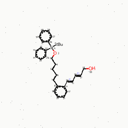 CC(C)(C)[Si](OCCCCCc1ccccc1/C=C/C=C/CO)(c1ccccc1)c1ccccc1